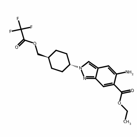 CCOC(=O)c1cc2nn([C@H]3CC[C@H](COC(=O)C(F)(F)F)CC3)cc2cc1N